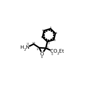 CCOC(=O)C1(c2ccccc2)OC1CN